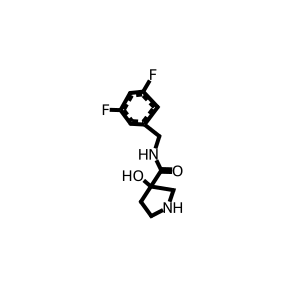 O=C(NCc1cc(F)cc(F)c1)C1(O)CCNC1